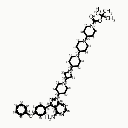 CC(C)(C)OC(=O)N1CCC(N2CCC(N3CCC(N4CC(N5CCC(n6nc(-c7ccc(Oc8ccccc8)cc7)c7c(N)ncnc76)CC5)C4)CC3)CC2)CC1